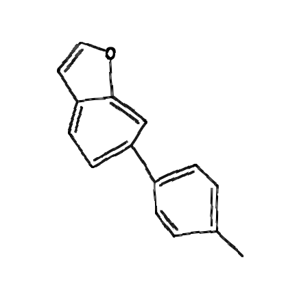 Cc1ccc(-c2ccc3ccoc3c2)cc1